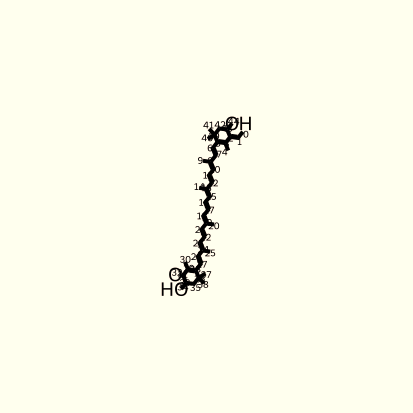 C/C=C1C(C)=C(/C=C/C(C)=C/C=C/C(C)=C/C=C/C=C(C)/C=C/C=C(C)/C=C/C2=C(C)C(=O)C(O)CC2(C)C)C(C)(C)CC/1O